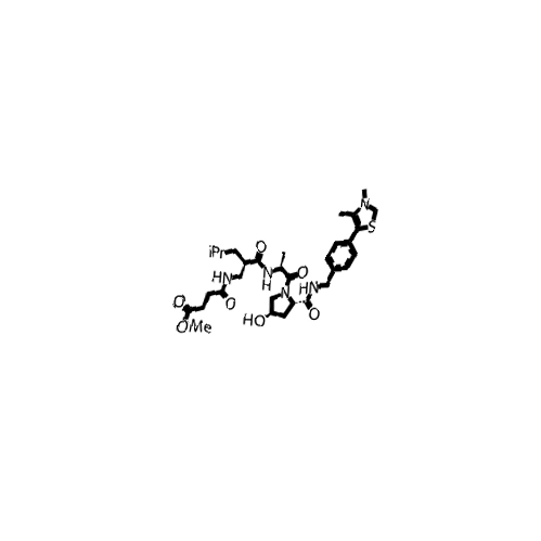 COC(=O)CCC(=O)NC[C@@H](CC(C)C)C(=O)N[C@@H](C)C(=O)N1C[C@H](O)C[C@H]1C(=O)NCc1ccc(C2=C(C)N(C)CS2)cc1